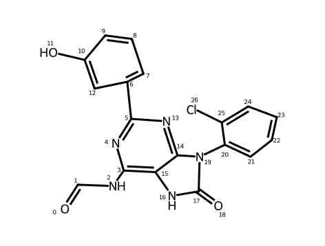 O=CNc1nc(-c2cccc(O)c2)nc2c1[nH]c(=O)n2-c1ccccc1Cl